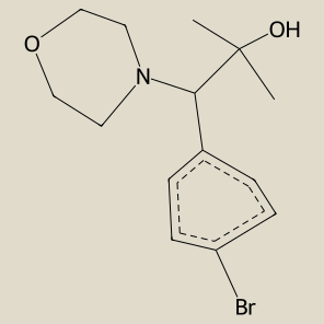 CC(C)(O)C(c1ccc(Br)cc1)N1CCOCC1